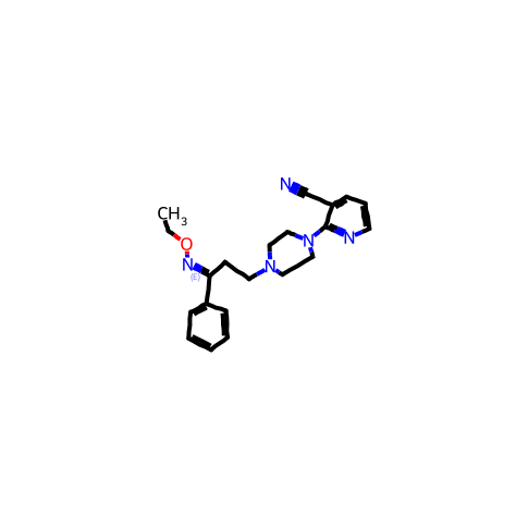 CCO/N=C(\CCN1CCN(c2ncccc2C#N)CC1)c1ccccc1